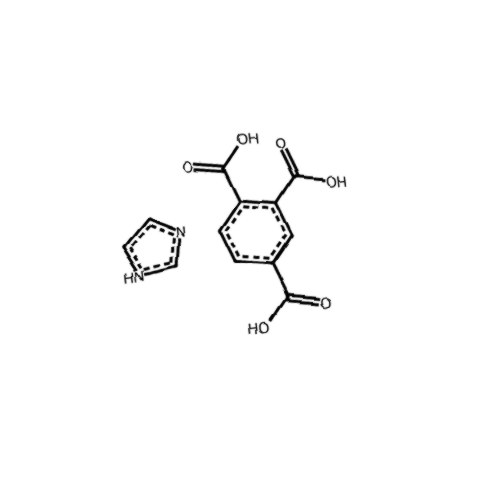 O=C(O)c1ccc(C(=O)O)c(C(=O)O)c1.c1c[nH]cn1